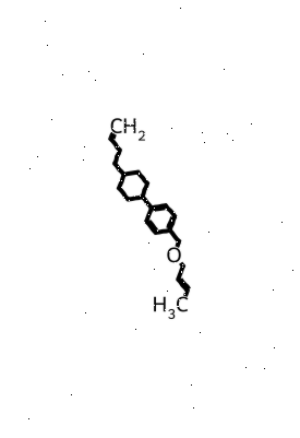 C=CCCC1CCC(c2ccc(COCC=CC)cc2)CC1